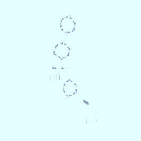 O=S(=O)(Nc1ccc(C#CCO)cc1)c1ccc(-c2ccccc2)cc1